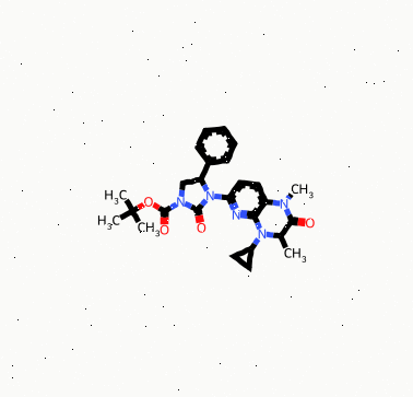 CC1C(=O)N(C)c2ccc(N3C(=O)N(C(=O)OC(C)(C)C)CC3c3ccccc3)nc2N1C1CC1